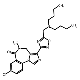 CCCCN(CCCC)Cc1nc(-c2ncn3c2CN(C)C(=O)c2cc(Cl)ccc2-3)no1